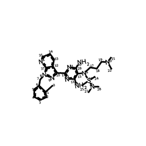 Cc1ccccc1Cn1nc(-c2nc(N)c(N(CCCN(C)C)S(C)(C)N(C)C)c(N)n2)c2cccnc21